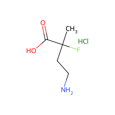 CC(F)(CCN)C(=O)O.Cl